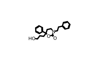 O=C1OC(CCCO)(c2ccccc2)CCN1CCc1ccccc1